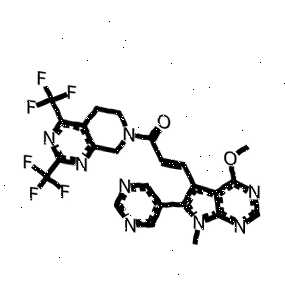 COc1ncnc2c1c(/C=C/C(=O)N1CCc3c(nc(C(F)(F)F)nc3C(F)(F)F)C1)c(-c1cncnc1)n2C